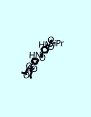 CC1CN(S(=O)(=O)c2ccc(NC(=O)C3CCC(NS(=O)(=O)C(C)C)CC3)cc2)CC(C)O1